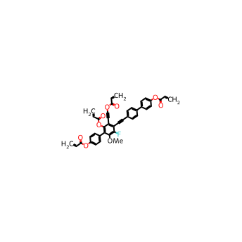 C=CC(=O)OC#Cc1c(C#Cc2ccc(-c3ccc(OC(=O)C=C)cc3)cc2)c(F)c(OC)c(-c2ccc(OC(=O)C=C)cc2)c1OC(=O)C=C